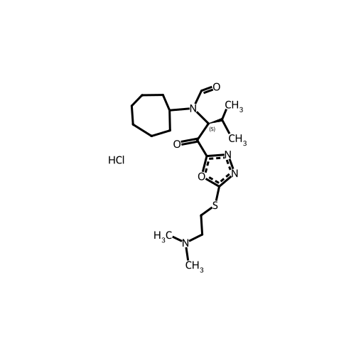 CC(C)[C@@H](C(=O)c1nnc(SCCN(C)C)o1)N(C=O)C1CCCCCC1.Cl